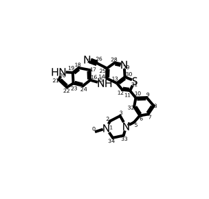 CN1CCN(Cc2cccc(-c3cc4c(Nc5ccc6[nH]ccc6c5)c(C#N)cnc4s3)c2)CC1